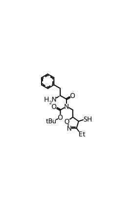 CCC1=NOC(CN(C(=O)OC(C)(C)C)C(=O)[C@@H](N)Cc2ccccc2)C1S